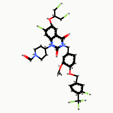 COc1cc(Cn2c(=O)c3cc(OC(CF)CF)c(F)cc3n(C3CCN(C=O)CC3)c2=O)ccc1OCc1ccc(C(F)(F)F)c(F)c1